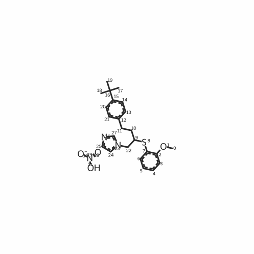 COc1ccccc1SC(CCc1ccc(C(C)(C)C)cc1)Cn1ccnc1.O=[N+]([O-])O